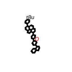 CC(C)(C)c1ccc(-c2ccc3ccc4c(-c5ccc6c(c5)oc5cc(-c7cccc8ccccc78)ccc56)ccc5ccc2c3c54)cc1